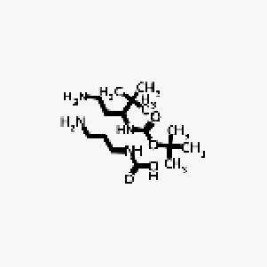 CC(C)(C)OC(=O)NC(CCN)C(C)(C)C.NCCCNC(=O)O